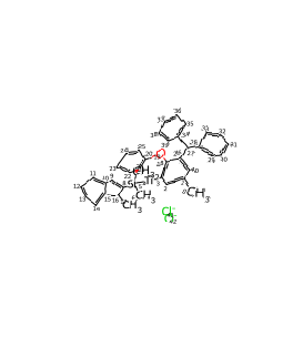 Cc1c[c]([Ti+2][Si](C)(C)C2=Cc3ccccc3C2C)c(Oc2ccccc2)c(C(c2ccccc2)c2ccccc2)c1.[Cl-].[Cl-]